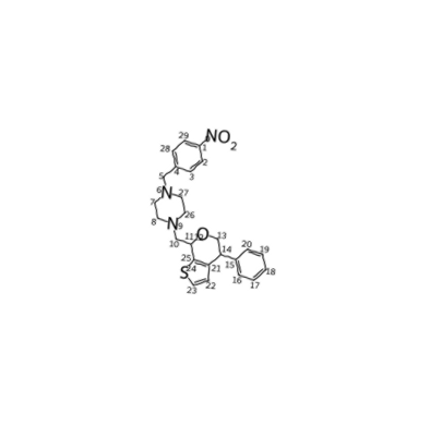 O=[N+]([O-])c1ccc(CN2CCN(CC3OCC(c4ccccc4)c4ccsc43)CC2)cc1